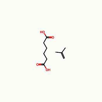 C=C(C)C.O=C(O)CCCCC(=O)O